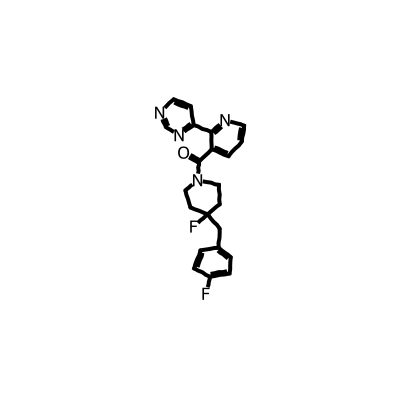 O=C(c1cccnc1-c1ccncn1)N1CCC(F)(Cc2ccc(F)cc2)CC1